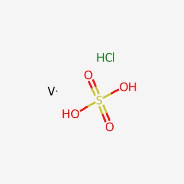 Cl.O=S(=O)(O)O.[V]